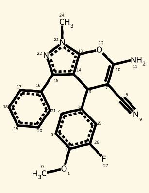 COc1ccc(C2C(C#N)=C(N)Oc3c2c(-c2ccccc2)nn3C)cc1F